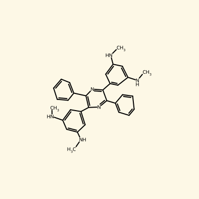 CNc1cc(NC)cc(-c2nc(-c3ccccc3)c(-c3cc(NC)cc(NC)c3)nc2-c2ccccc2)c1